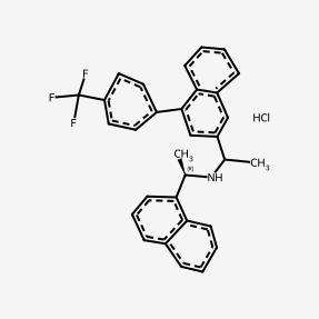 CC(N[C@H](C)c1cccc2ccccc12)c1cc(-c2ccc(C(F)(F)F)cc2)c2ccccc2c1.Cl